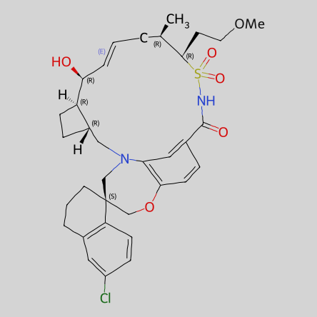 COCC[C@@H]1[C@H](C)C/C=C/[C@H](O)[C@@H]2CC[C@H]2CN2C[C@@]3(CCCc4cc(Cl)ccc43)COc3ccc(cc32)C(=O)NS1(=O)=O